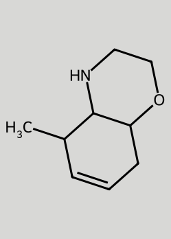 CC1C=CCC2OCCNC12